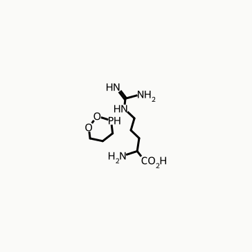 C1COOPC1.N=C(N)NCCCC(N)C(=O)O